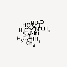 CC(NC(=O)C(NC(=O)C(N)C(C)C)C(C)O)C(=O)O